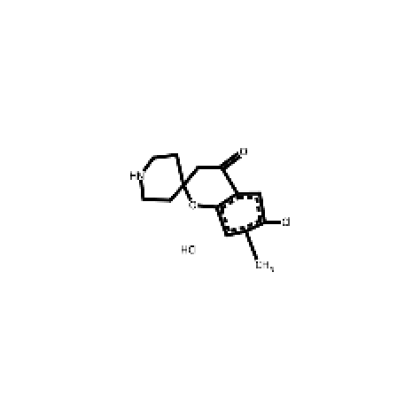 Cc1cc2c(cc1Cl)C(=O)CC1(CCNCC1)O2.Cl